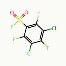 O=S(=O)(F)c1c(F)c(Cl)c(F)c(Cl)c1F